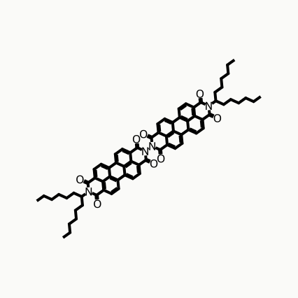 CCCCCCC(CCCCCC)N1C(=O)c2ccc3c4ccc5c6c(ccc(c7ccc(c2c37)C1=O)c64)C(=O)N(N1C(=O)c2ccc3c4ccc6c7c(ccc(c8ccc(c2c38)C1=O)c74)C(=O)N(C(CCCCCC)CCCCCC)C6=O)C5=O